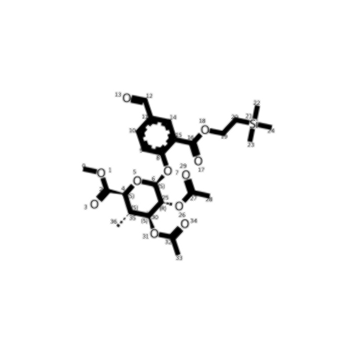 COC(=O)[C@H]1O[C@@H](Oc2ccc(C=O)cc2C(=O)OCC[Si](C)(C)C)[C@H](OC(C)=O)[C@@H](OC(C)=O)[C@@H]1C